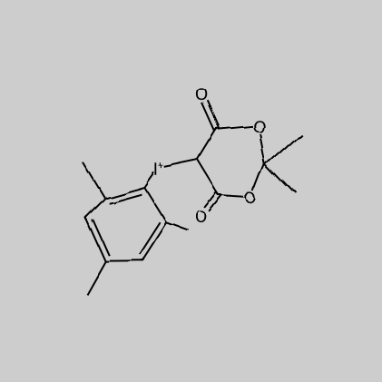 Cc1cc(C)c([I+]C2C(=O)OC(C)(C)OC2=O)c(C)c1